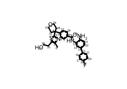 Cc1nc(C2(c3ccc(C(=O)Nc4cc(-c5ccc(F)cc5)ccc4N)cc3)CCOCC2)sc1CCO